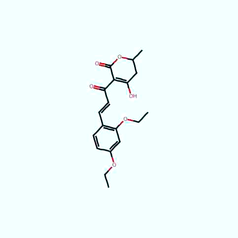 CCOc1ccc(C=CC(=O)C2=C(O)CC(C)OC2=O)c(OCC)c1